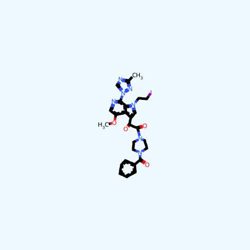 COc1cnc(-n2cnc(C)n2)c2c1c(C(=O)C(=O)N1CCN(C(=O)c3ccccc3)CC1)cn2CCI